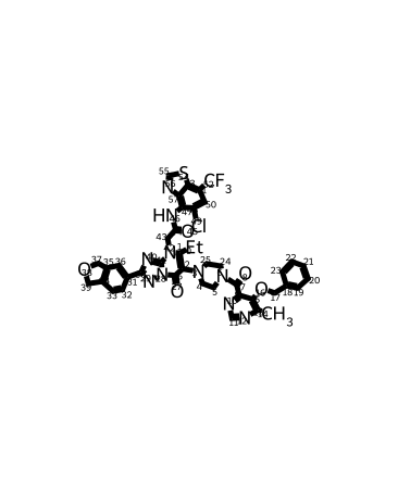 CCc1c(N2CCN(C(=O)c3ncnc(C)c3OCc3ccccc3)CC2)c(=O)n2nc(-c3ccc4c(c3)COC4)nc2n1CC(=O)Nc1c(Cl)cc(C(F)(F)F)c2scnc12